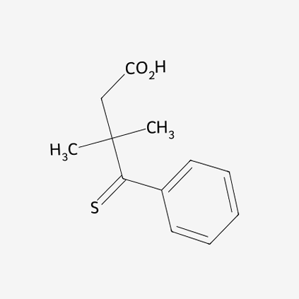 CC(C)(CC(=O)O)C(=S)c1ccccc1